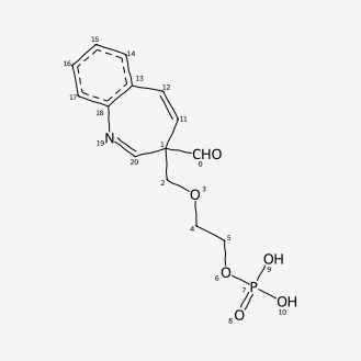 O=CC1(COCCOP(=O)(O)O)C=Cc2ccccc2N=C1